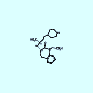 O=C(O)CN1C(=O)[C@@H](N[C@@H](CCC2CCNCC2)C(=O)O)CSc2ccccc21